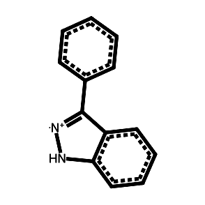 c1ccc(C2=[N+]Nc3ccccc32)cc1